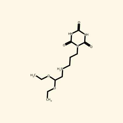 CCOC(C[SiH2]CCCn1c(=O)[nH]c(=O)[nH]c1=O)OCC